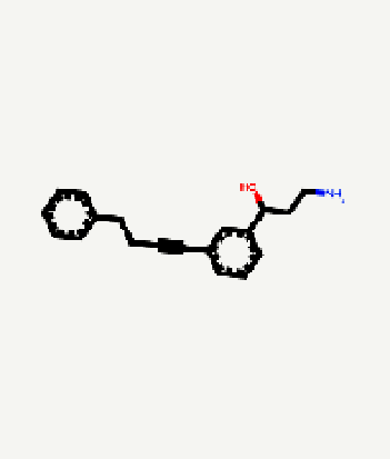 NCCC(O)c1cccc(C#CCCc2ccccc2)c1